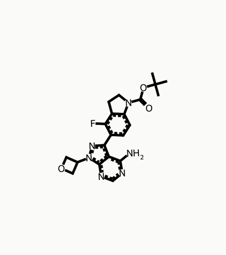 CC(C)(C)OC(=O)N1CCc2c1ccc(-c1nn(C3COC3)c3ncnc(N)c13)c2F